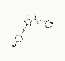 Cc1nc(C#Cc2ccc(O)cc2)sc1C(=O)NCc1cccnc1